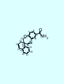 NC(=O)c1ccc2c(c1)N=CC1(CC=Cc3ccccc31)CO2